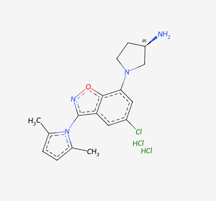 Cc1ccc(C)n1-c1noc2c(N3CC[C@@H](N)C3)cc(Cl)cc12.Cl.Cl